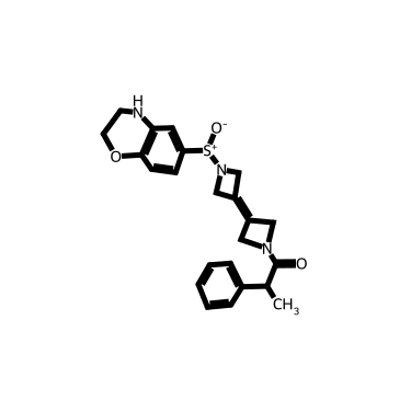 CC(C(=O)N1CC(=C2CN([S+]([O-])c3ccc4c(c3)NCCO4)C2)C1)c1ccccc1